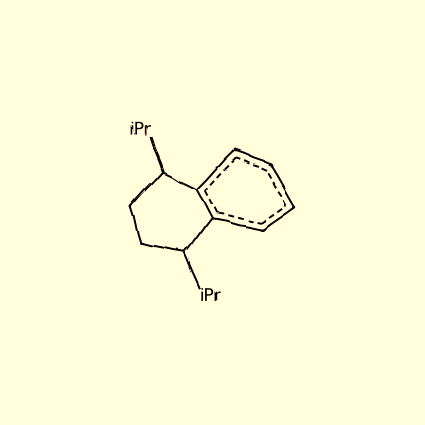 CC(C)C1CCC(C(C)C)c2ccccc21